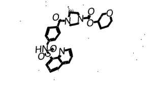 C[C@@H]1CN(C(=O)OC2CCCOC2)CCN1C(=O)c1ccc(NS(=O)(=O)c2cccc3cccnc23)cc1